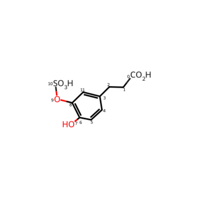 O=C(O)CCc1ccc(O)c(OS(=O)(=O)O)c1